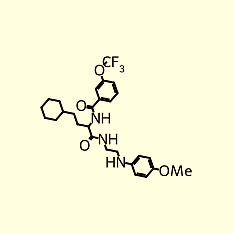 COc1ccc(NCCNC(=O)C(CCC2CCCCC2)NC(=O)c2cccc(OC(F)(F)F)c2)cc1